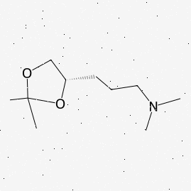 CN(C)CCC[C@H]1COC(C)(C)O1